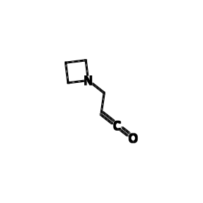 O=C=CCN1CCC1